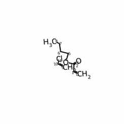 C=CC(=O)OCCCC.C=CCl